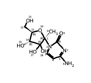 C[C@@]1(n2ccc(N)nc2=O)O[C@H](CO)[C@@H](O)C1(O)O